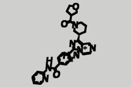 N[N+]12C=CN=CC1=C([C@@H]1CCCN(C(=O)C3CCOC3)C1)N=C2c1ccc(C(=O)Nc2ccccn2)cc1